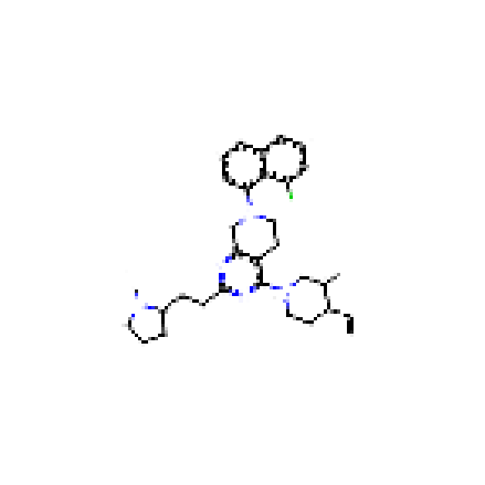 C=CC1CCN(c2nc(CCC3CCCN3C)nc3c2CCN(c2cccc4cccc(Cl)c24)C3)CC1CC